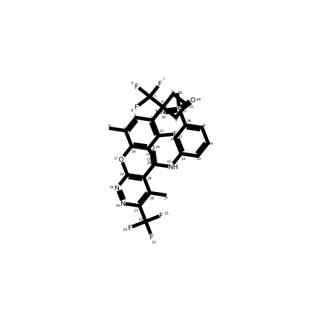 Cc1cc(C2(C(F)(F)F)CCC2)c(F)c(F)c1Oc1nnc(C(F)(F)F)c(C)c1C(=O)Nc1cccc(S(C)(=N)=O)c1